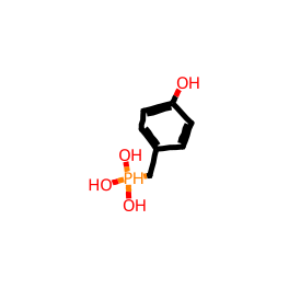 Oc1ccc(C[PH](O)(O)O)cc1